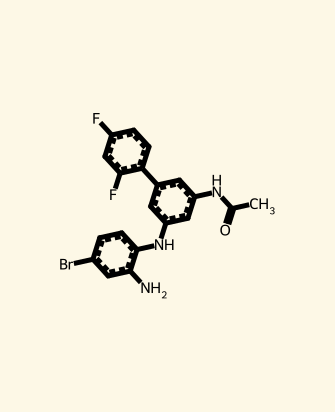 CC(=O)Nc1cc(Nc2ccc(Br)cc2N)cc(-c2ccc(F)cc2F)c1